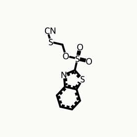 N#CSCOS(=O)(=O)c1nc2ccccc2s1